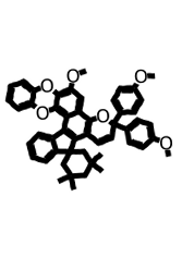 COc1ccc(C2(c3ccc(OC)cc3)C=Cc3c4c(c5c6c(c(OC)cc5c3O2)Oc2ccccc2O6)-c2ccccc2C42CC(C)(C)CC(C)(C)C2)cc1